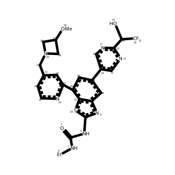 CCNC(=O)Nc1nc2cc(-c3cnc(C(O)C(F)(F)F)nc3)cc(-c3cc(CN4CC(OC)C4)ccn3)c2s1